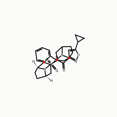 O=C(N[C@H]1C[C@H]2CC[C@@H](C1)N2S(=O)(=O)N1CC2CCC(C1)N2Cc1ccccc1)c1cc(C2CC2)on1